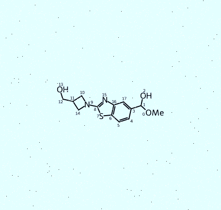 COC(O)c1ccc2sc(N3CC(CO)C3)nc2c1